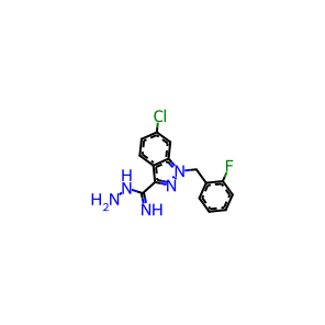 N=C(NN)c1nn(Cc2ccccc2F)c2cc(Cl)ccc12